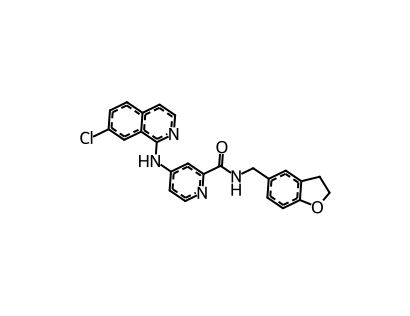 O=C(NCc1ccc2c(c1)CCO2)c1cc(Nc2nccc3ccc(Cl)cc23)ccn1